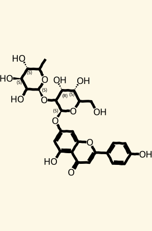 CC1O[C@@H](OC2[C@H](Oc3cc(O)c4c(=O)cc(-c5ccc(O)cc5)oc4c3)OC(CO)[C@@H](O)[C@H]2O)C(O)[C@@H](O)[C@@H]1O